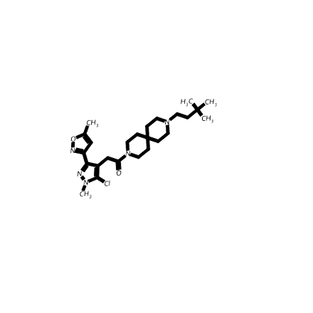 Cc1cc(-c2nn(C)c(Cl)c2CC(=O)N2CCC3(CCN(CCC(C)(C)C)CC3)CC2)no1